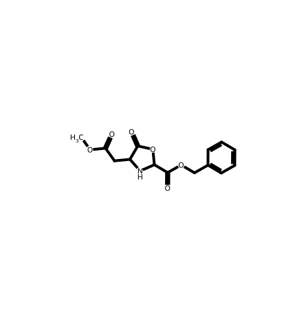 COC(=O)CC1NC(C(=O)OCc2ccccc2)OC1=O